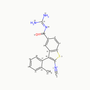 [C-]#[N+]c1sc2ccc(C(=O)N=C(N)N)cc2c1-c1ccccc1C